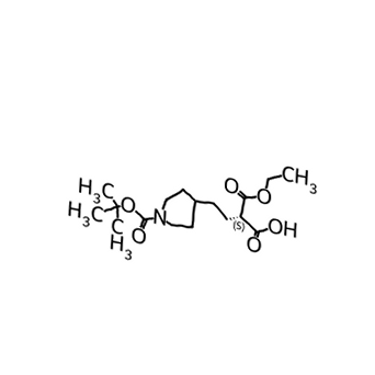 CCOC(=O)[C@@H](CCC1CCN(C(=O)OC(C)(C)C)CC1)C(=O)O